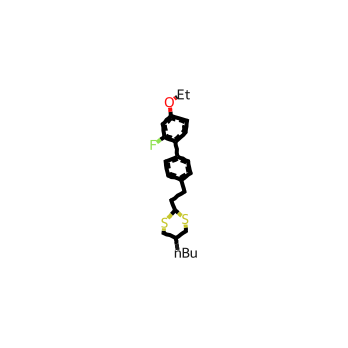 CCCCC1CSC(CCc2ccc(-c3ccc(OCC)cc3F)cc2)SC1